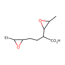 CCC1OC1CCC(C(=O)O)C1OC1C